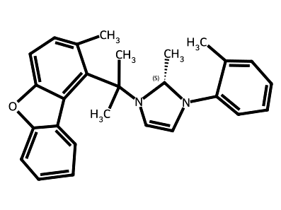 Cc1ccccc1N1C=CN(C(C)(C)c2c(C)ccc3oc4ccccc4c23)[C@@H]1C